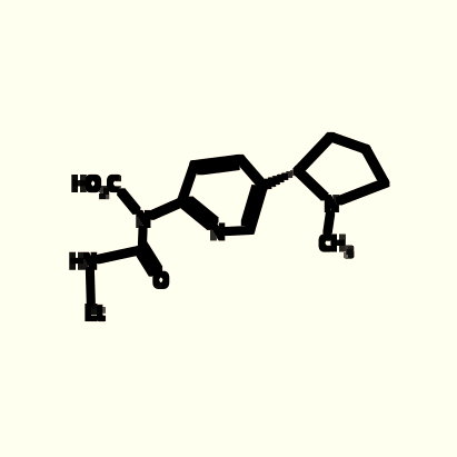 CCNC(=O)N(C(=O)O)c1ccc([C@@H]2CCCN2C)cn1